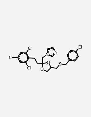 Clc1ccc(CSCC2COC(CCc3c(Cl)cc(Cl)cc3Cl)(Cn3ccnc3)O2)cc1